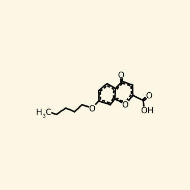 CCCCCOc1ccc2c(=O)cc(C(=O)O)oc2c1